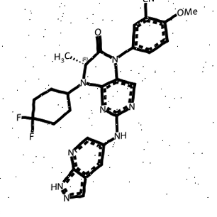 COc1ccc(N2C(=O)[C@@H](C)N(C3CCC(F)(F)CC3)c3nc(Nc4cnc5[nH]ncc5c4)ncc32)cc1C#N